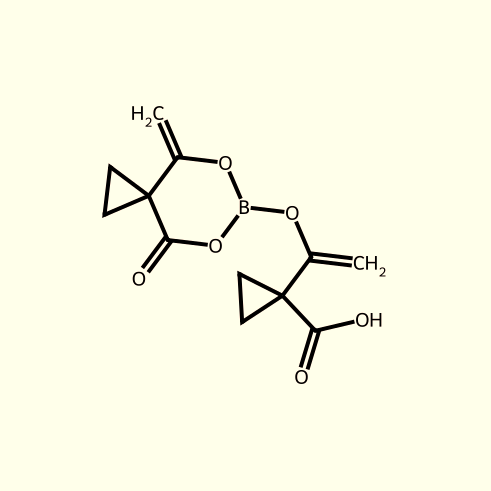 C=C(OB1OC(=C)C2(CC2)C(=O)O1)C1(C(=O)O)CC1